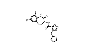 O=C(NC1CCc2cc(F)cc(F)c2NC1=O)c1nncn1CC1CCCC1